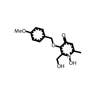 COc1ccc(COc2c(CO)n(O)c(C)cc2=O)cc1